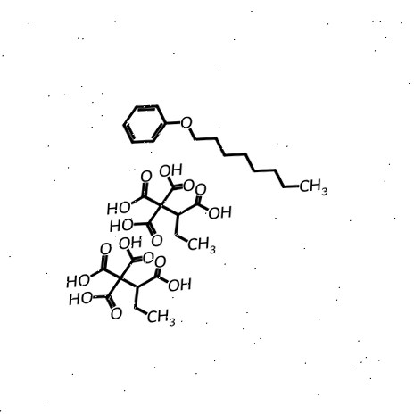 CCC(C(=O)O)C(C(=O)O)(C(=O)O)C(=O)O.CCC(C(=O)O)C(C(=O)O)(C(=O)O)C(=O)O.CCCCCCCCOc1ccccc1